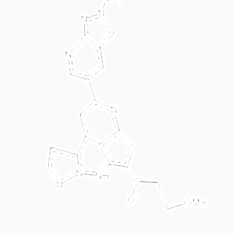 COCC[S+]([O-])c1sc2nc(-c3cnc4nn(C)cc4c3)cc3c2c1[nH]n1nccc31